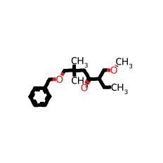 CCC(COC)C(=O)CC(C)(C)COCc1ccccc1